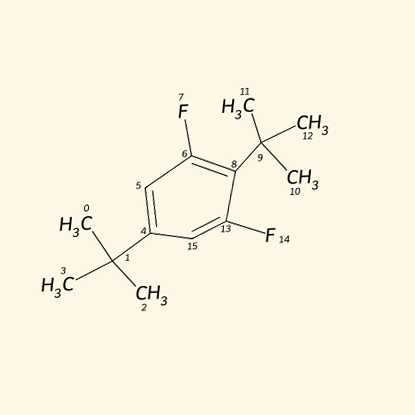 CC(C)(C)c1cc(F)c(C(C)(C)C)c(F)c1